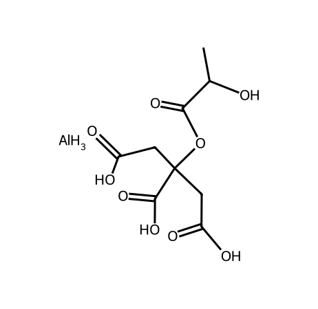 CC(O)C(=O)OC(CC(=O)O)(CC(=O)O)C(=O)O.[AlH3]